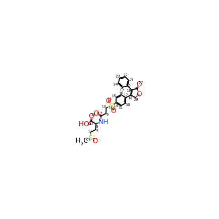 C[S+]([O-])CCC(NC(=O)CCS(=O)(=O)c1ccc(C2=C(c3ccccc3)C(=O)OC2)cc1)C(=O)O